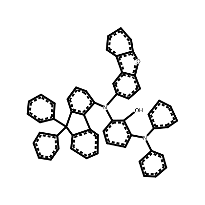 Oc1c(N(c2ccccc2)c2ccccc2)cccc1N(c1ccc2oc3ccccc3c2c1)c1cccc2c1-c1ccccc1C2(c1ccccc1)c1ccccc1